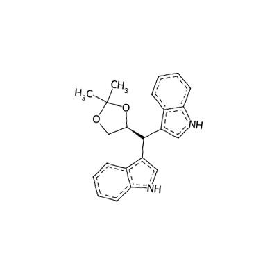 CC1(C)OC[C@H](C(c2c[nH]c3ccccc23)c2c[nH]c3ccccc23)O1